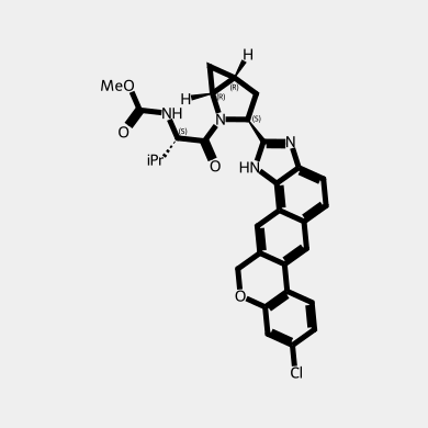 COC(=O)N[C@H](C(=O)N1[C@@H]2C[C@@H]2C[C@H]1c1nc2ccc3cc4c(cc3c2[nH]1)COc1cc(Cl)ccc1-4)C(C)C